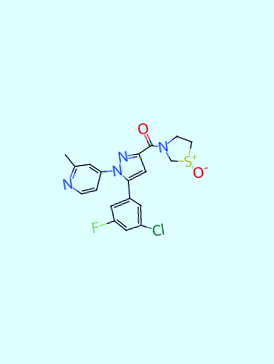 Cc1cc(-n2nc(C(=O)N3CC[S+]([O-])C3)cc2-c2cc(F)cc(Cl)c2)ccn1